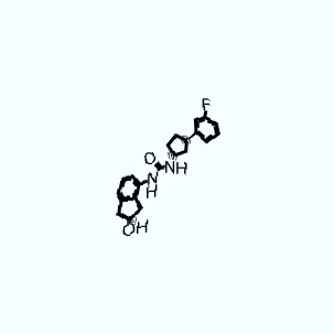 O=C(Nc1cccc2c1C[C@@H](O)C2)N[C@@H]1CC[C@@H](c2cccc(F)c2)C1